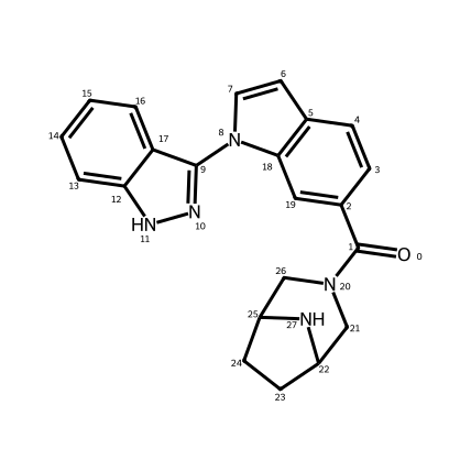 O=C(c1ccc2ccn(-c3n[nH]c4ccccc34)c2c1)N1CC2CCC(C1)N2